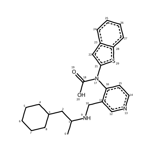 CC(CC1CCCCC1)NCc1cnccc1N(C(=O)O)c1cc2ccccc2s1